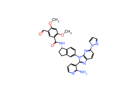 COc1cc(OC)c(C(=O)N[C@H]2CCc3cc(-n4c(-c5cccnc5N)nc5ccc(-n6cccn6)nc54)ccc32)cc1C=O